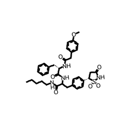 CCCCCNC(=O)C(Cc1ccc([C@@H]2CC(=O)NS2(=O)=O)cc1)NC(=O)[C@H](Cc1ccccc1)NC(=O)Cc1ccc(OC)cc1